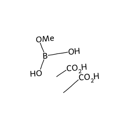 CC(=O)O.CC(=O)O.COB(O)O